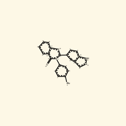 CCC(C)c1ccc(-n2c(-c3ccc4[nH]ncc4c3)nc3ccccc3c2=O)cc1